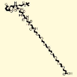 CC(C)(C)OC(=O)CC[Si@H](NC(=O)CN1C(=O)C=CC1=O)C(=O)NCC(=O)NCC(=O)NCC(=O)NCC(=O)NCCOCCOCCOCCOCCOCCOCCOCCOCCC(=O)O